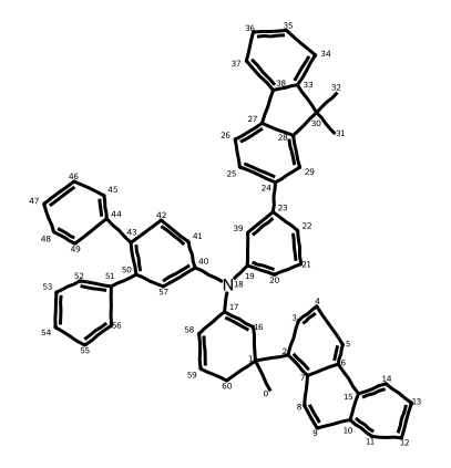 CC1(c2cccc3c2ccc2ccccc23)C=C(N(c2cccc(-c3ccc4c(c3)C(C)(C)c3ccccc3-4)c2)c2ccc(-c3ccccc3)c(-c3ccccc3)c2)C=CC1